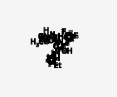 CCc1cccc(CNC[C@@H](O)[C@H](Cc2cc(F)cc(F)c2)NC(=O)c2cnc(NS(C)(=O)=O)o2)c1